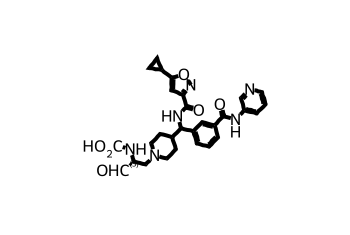 O=C[C@H](CN1CCC(C(NC(=O)c2cc(C3CC3)on2)c2cccc(C(=O)Nc3cccnc3)c2)CC1)NC(=O)O